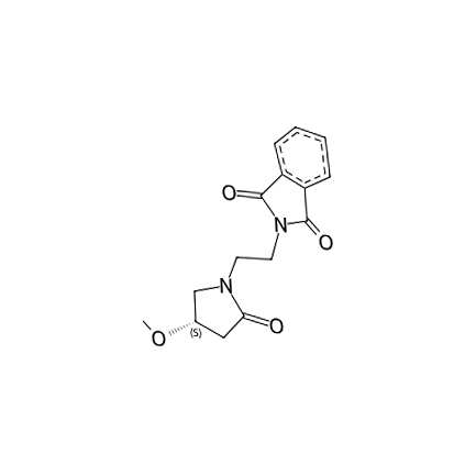 CO[C@H]1CC(=O)N(CCN2C(=O)c3ccccc3C2=O)C1